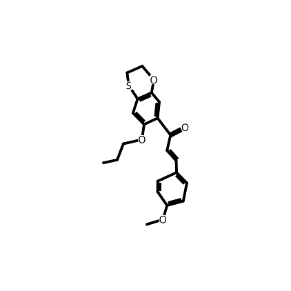 CCCOc1cc2c(cc1C(=O)C=Cc1ccc(OC)cc1)OCCS2